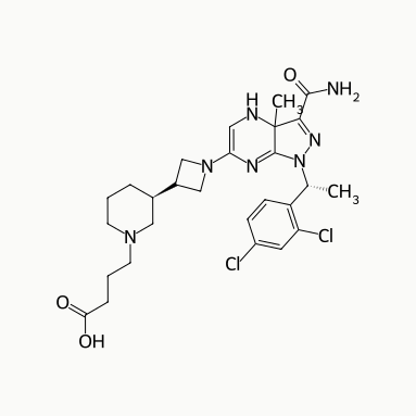 C[C@H](c1ccc(Cl)cc1Cl)N1N=C(C(N)=O)C2(C)NC=C(N3CC([C@@H]4CCCN(CCCC(=O)O)C4)C3)N=C12